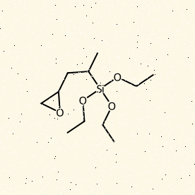 CCO[Si](OCC)(OCC)C(C)CC1CO1